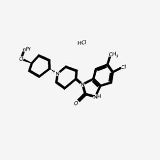 CCCO[C@H]1CC[C@H](N2CCC(n3c(=O)[nH]c4cc(Cl)c(C)cc43)CC2)CC1.Cl